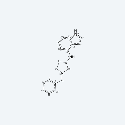 c1ccc(CN2CCC(Nc3ncnc4[nH]ccc34)C2)cc1